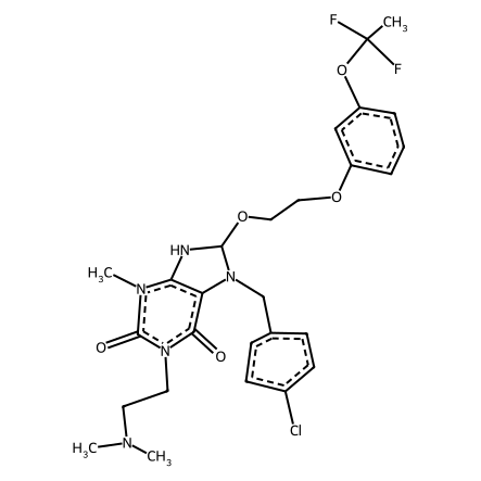 CN(C)CCn1c(=O)c2c(n(C)c1=O)NC(OCCOc1cccc(OC(C)(F)F)c1)N2Cc1ccc(Cl)cc1